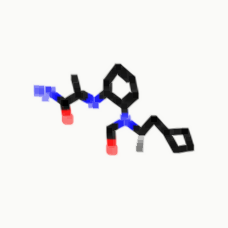 C/C(=N\c1ccccc1N(C=O)[C@@H](C)CC1CCC1)C(N)=O